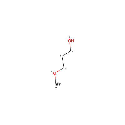 CC[CH]OCCCO